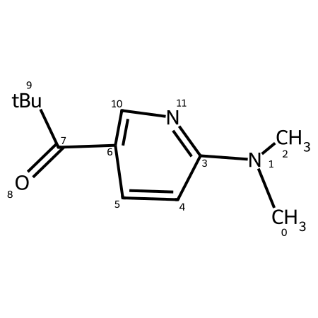 CN(C)c1ccc(C(=O)C(C)(C)C)cn1